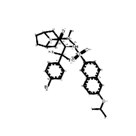 CC(C)Oc1ccc2cc(S(=O)(=O)N[C@H](C(=O)N3C4CCC3CC(N(C)C)C4)C(F)(F)c3ccc(Br)cc3)ccc2c1